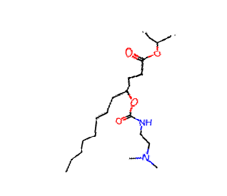 [CH2]C([CH2])OC(=O)CCC(CCCCCCCC)OC(=O)NCCN(C)C